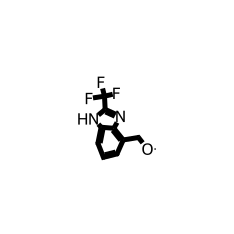 [O]Cc1cccc2[nH]c(C(F)(F)F)nc12